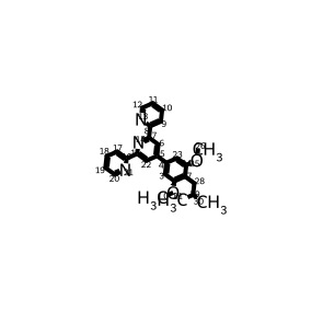 COc1cc(-c2cc(-c3ccccn3)nc(-c3ccccn3)c2)cc(OC)c1CC(C)C